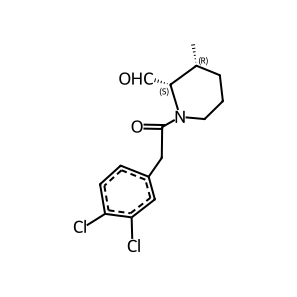 C[C@@H]1CCCN(C(=O)Cc2ccc(Cl)c(Cl)c2)[C@@H]1C=O